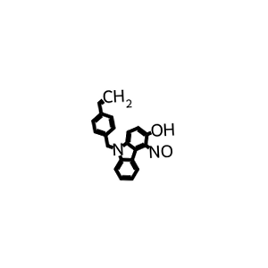 C=Cc1ccc(Cn2c3ccccc3c3c(N=O)c(O)ccc32)cc1